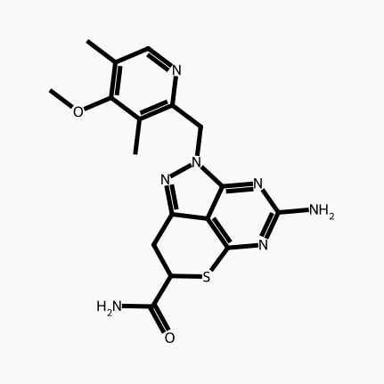 COc1c(C)cnc(Cn2nc3c4c(nc(N)nc42)SC(C(N)=O)C3)c1C